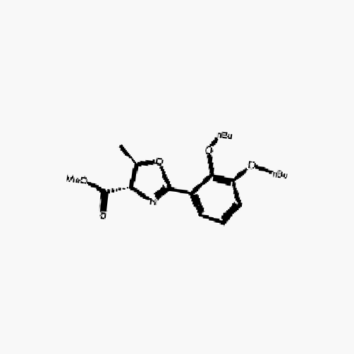 CCCCOc1cccc(C2=N[C@H](C(=O)OC)[C@@H](C)O2)c1OCCCC